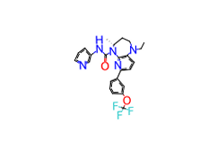 CCN1CC[C@@H](C)N(C(=O)Nc2cccnc2)c2nc(-c3cccc(OC(F)(F)F)c3)ccc21